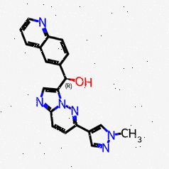 Cn1cc(-c2ccc3ncc([C@H](O)c4ccc5ncccc5c4)n3n2)cn1